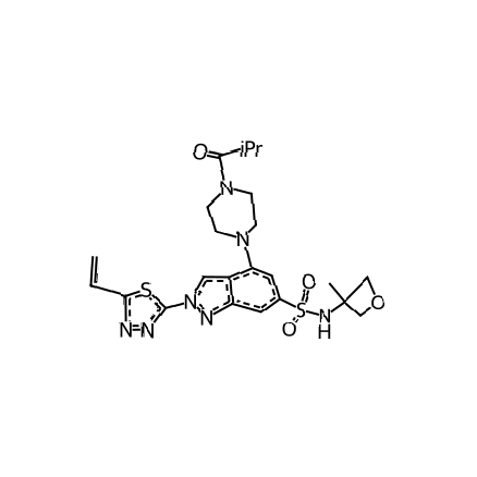 C=Cc1nnc(-n2cc3c(N4CCN(C(=O)C(C)C)CC4)cc(S(=O)(=O)NC4(C)COC4)cc3n2)s1